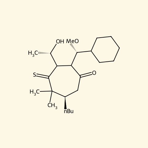 CCCC[C@@H]1CC(=O)C([C@H](OC)C2CCCCC2)C([C@H](C)O)C(=S)C1(C)C